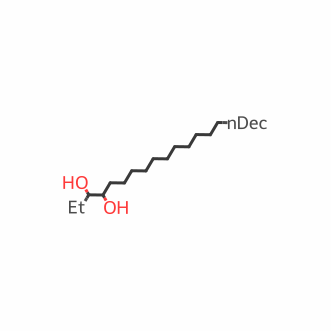 [CH2]CC(O)C(O)CCCCCCCCCCCCCCCCCCCCC